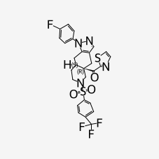 O=C(c1nccs1)[C@]12Cc3cnn(-c4ccc(F)cc4)c3C[C@@H]1CCN(S(=O)(=O)c1ccc(C(F)(F)F)cc1)C2